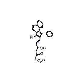 CC(C)c1c(/C=C/C(O)CC(=O)CC(=O)O)c(-c2ccccc2)c2c3ccccc3ccn12